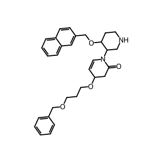 O=C1CC(OCCCOCc2ccccc2)C=CN1C1CNCCC1OCc1ccc2ccccc2c1